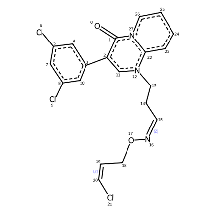 O=c1c(-c2cc(Cl)cc(Cl)c2)cn(CC/C=N\OC/C=C\Cl)c2cccc[n+]12